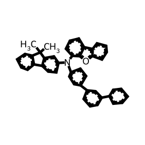 CC1(C)c2ccccc2-c2ccc(N(c3ccc(-c4cccc(-c5ccccc5)c4)cc3)c3cccc4c3oc3ccccc34)cc21